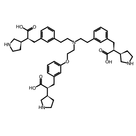 O=C(O)[C@@H](Cc1cccc(CCN(CCOc2cccc(C[C@H](C(=O)O)[C@H]3CCNC3)c2)CCc2cccc(C[C@H](C(=O)O)[C@H]3CCNC3)c2)c1)[C@H]1CCNC1